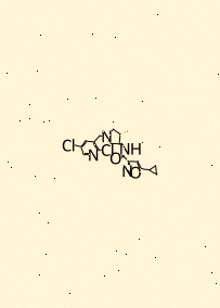 C[C@H]1CN(Cc2cc(Cl)cnc2Cl)C[C@H]1NC(=O)c1cc(C2CC2)on1